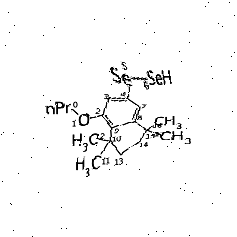 CCCOc1cc([Se][SeH])cc2c1C(C)(C)CCC2(C)C